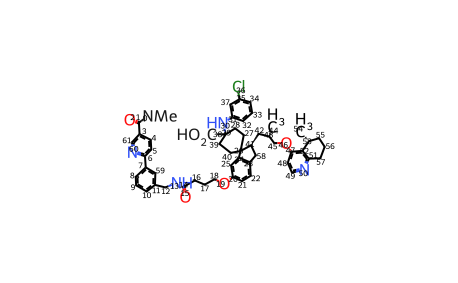 CNC(=O)c1ccc(-c2cccc(CNC(=O)CCCOc3ccc4c(c3)C3(CCC(Nc5cccc(Cl)c5)(C(=O)O)CC3)[C@@H](C[C@@H](C)COc3ccnc5c3[C@H](C)CCC5)C4)c2)nc1